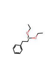 CC[O][Ti]([CH2]Cc1ccccc1)[O]CC